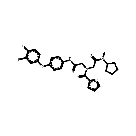 CN(C(=O)CN(CC(=O)Nc1ccc(Oc2ccc(F)c(F)c2)cc1)C(=O)c1ccco1)C1CCCC1